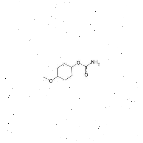 COC1CCC(OC(N)=O)CC1